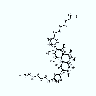 CCCCCCCc1nnc(-c2c(F)c(F)c3c(c2F)c(F)c(F)c2c(F)c(F)c(-c4nnc(CCCCCCC)s4)c(F)c23)s1